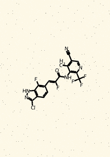 Cc1c(C#N)cnc(C(F)(F)F)c1NC(=O)/C(F)=C/c1ccc2c(Cl)n[nH]c2c1F